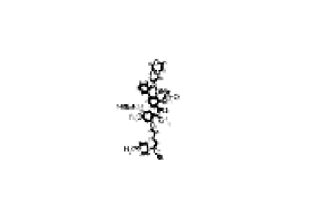 COc1c(-c2cccc3[nH]c(CN4CCOCC4)nc23)ccc(C(=O)N(C)c2ccc(C)cc2OCCCCC(=C=O)N2CCN(C)CC2)c1NC=O.Cl.Cl.Cl